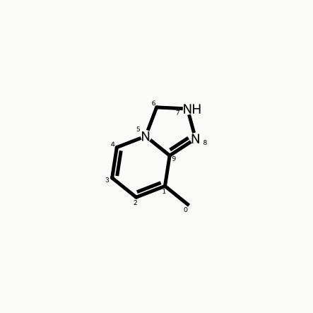 CC1=CC=CN2CNN=C12